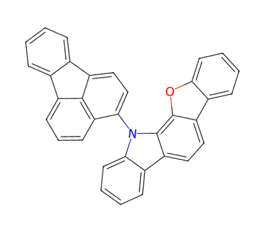 c1ccc2c(c1)-c1cccc3c(-n4c5ccccc5c5ccc6c7ccccc7oc6c54)ccc-2c13